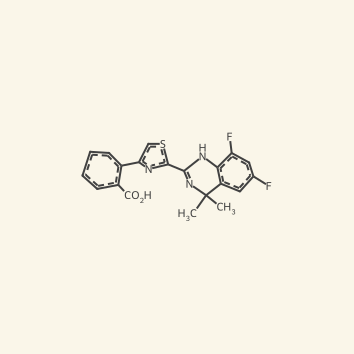 CC1(C)N=C(c2nc(-c3ccccc3C(=O)O)cs2)Nc2c(F)cc(F)cc21